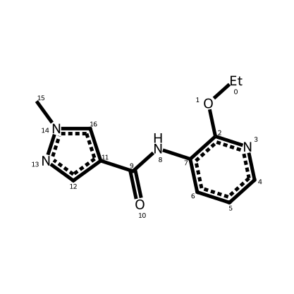 CCOc1ncccc1NC(=O)c1cnn(C)c1